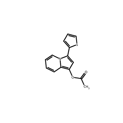 CC(=O)Oc1cc(-c2cccs2)n2ccccc12